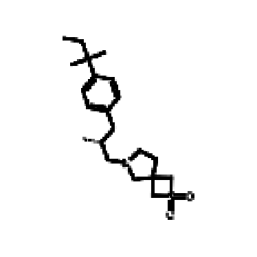 CCC(C)(C)c1ccc(C[C@@H](C)CN2CCC3(C2)CS(=O)(=O)C3)cc1